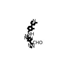 Cc1cc(-c2ccc(CNc3nnc4cc(-c5nccnc5C=O)cnn34)cc2C)ccn1